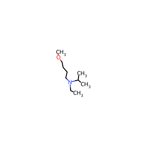 CCN(CCCCOC)C(C)C